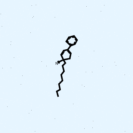 CCCCCCCCCC1(C#N)C=CC(c2ccccc2)=CC1